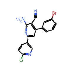 N#Cc1c(-c2cccc(Br)c2)cc(-c2ccc(Cl)nc2)nc1N